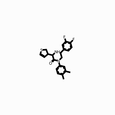 Cc1ccc(N(CCc2ccc(F)c(F)c2)C(=O)C(N)C2C=CSC2)cc1C